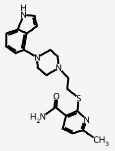 Cc1ccc(C(N)=O)c(SCCN2CCN(c3cccc4[nH]ccc34)CC2)n1